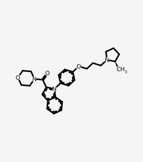 C[C@@H]1CCCN1CCCOc1ccc(-n2c(C(=O)N3CCOCC3)cc3ccccc32)cc1